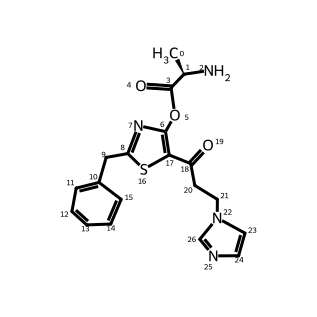 C[C@@H](N)C(=O)Oc1nc(Cc2ccccc2)sc1C(=O)CCn1ccnc1